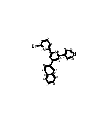 Brc1cccc(-c2cc(-c3ccc4ccccc4c3)cc(-c3ccncc3)n2)n1